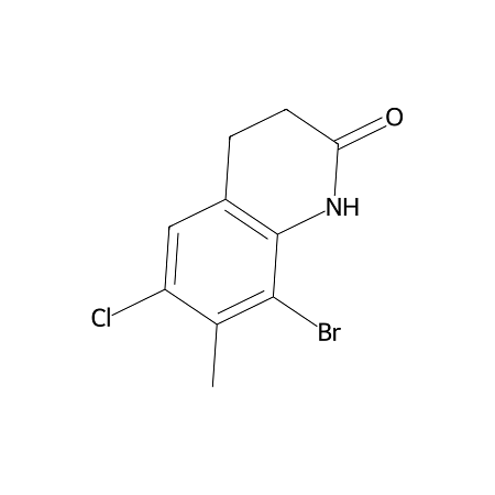 Cc1c(Cl)cc2c(c1Br)NC(=O)CC2